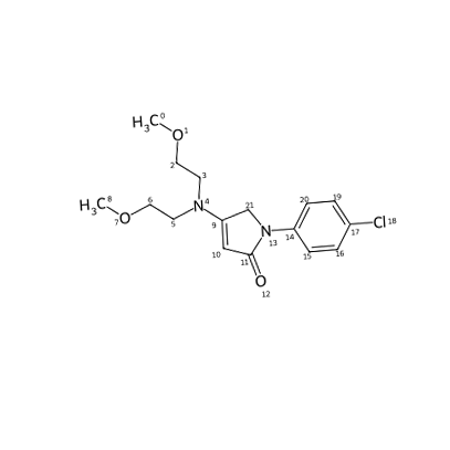 COCCN(CCOC)C1=CC(=O)N(c2ccc(Cl)cc2)C1